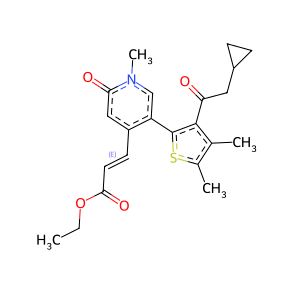 CCOC(=O)/C=C/c1cc(=O)n(C)cc1-c1sc(C)c(C)c1C(=O)CC1CC1